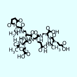 CN[C@@H](CCC(=O)O)C(=O)N[C@@H](CNC(=O)[C@H](CCC(=O)O)NC(=O)[C@H](CNC(=O)[C@H](CN)N1C(=O)CCC1=O)NC(=O)[C@H](CCC(=O)O)NC(C)(C)C)C(=O)O